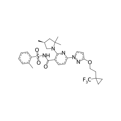 Cc1ccccc1S(=O)(=O)NC(=O)c1ccc(-n2ccc(OCCC3(C(F)(F)F)CC3)n2)nc1N1C[C@@H](C)CC1(C)C